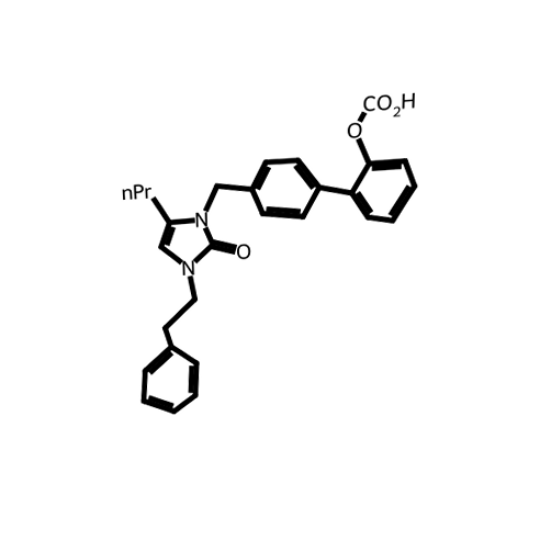 CCCc1cn(CCc2ccccc2)c(=O)n1Cc1ccc(-c2ccccc2OC(=O)O)cc1